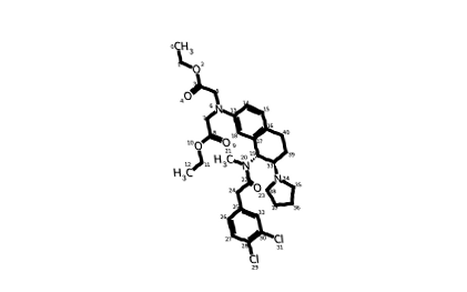 CCOC(=O)CN(CC(=O)OCC)c1ccc2c(c1)[C@@H](N(C)C(=O)Cc1ccc(Cl)c(Cl)c1)[C@H](N1CCCC1)CC2